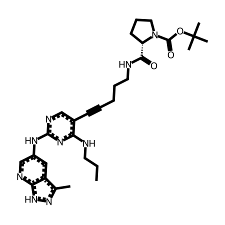 CCCNc1nc(Nc2cnc3[nH]nc(C)c3c2)ncc1C#CCCCNC(=O)[C@@H]1CCCN1C(=O)OC(C)(C)C